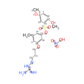 COc1ccc(OC)c(S(=O)(=O)Oc2cc(C)cc(OCCC=NNC(=N)N)c2)c1.O=[N+]([O-])O